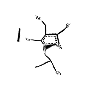 CC.CC(C#N)n1nc(Br)c(Br)c1Br